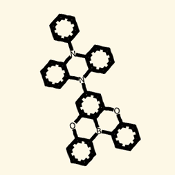 c1ccc(N2c3ccccc3N(c3cc4c5c(c3)Oc3ccccc3B5c3ccccc3O4)c3ccccc32)cc1